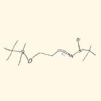 CC(C)(C)[S+]([O-])/N=C/CCO[Si](C)(C)C(C)(C)C